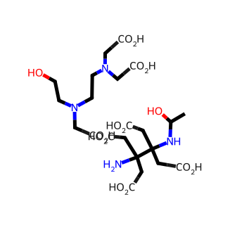 CC(O)NC(CC(=O)O)(CC(=O)O)C(N)(CC(=O)O)CC(=O)O.O=C(O)CN(CCO)CCN(CC(=O)O)CC(=O)O